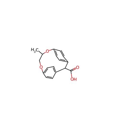 CC1COc2ccc(cc2)C(C(=O)O)c2ccc(cc2)O1